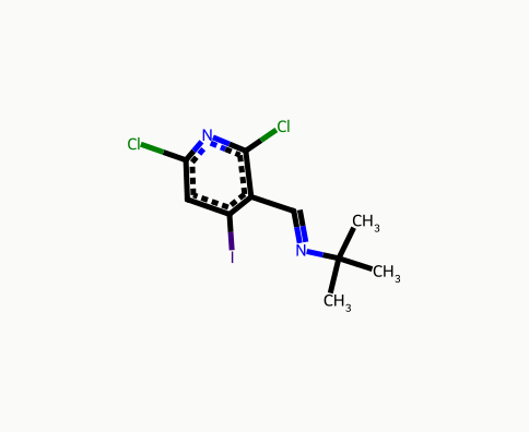 CC(C)(C)N=Cc1c(I)cc(Cl)nc1Cl